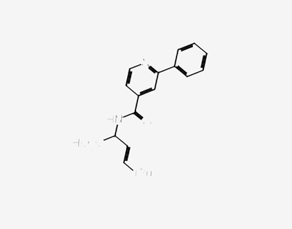 CC(C)(C)/C=C/C(NC(=O)c1ccnc(-c2ccccc2)c1)C(=O)O